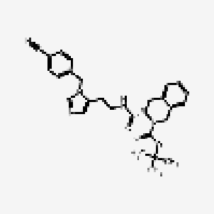 CC(C)(C)OC(=O)N1Cc2ccccc2C[C@H]1C(=O)NCCc1cncn1Cc1ccc(C#N)cc1